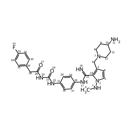 CNn1ccc(CN2CCC(N)CC2)c1C(=N)Nc1ccc(NC(=O)NC(=O)Cc2ccc(F)cc2)cc1